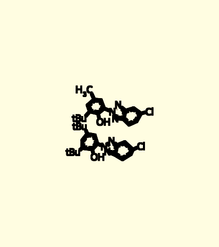 CC(C)(C)c1cc(-n2nc3ccc(Cl)cc3n2)c(O)c(C(C)(C)C)c1.Cc1cc(-n2nc3ccc(Cl)cc3n2)c(O)c(C(C)(C)C)c1